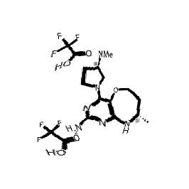 CN[C@@H]1CCN(c2nc(N)nc3c2OCC[C@H](C)N3)C1.O=C(O)C(F)(F)F.O=C(O)C(F)(F)F